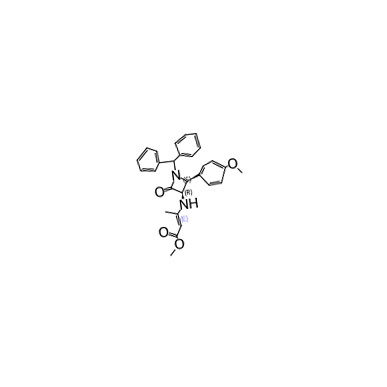 COC(=O)/C=C(\C)N[C@H]1C(=O)N(C(c2ccccc2)c2ccccc2)[C@H]1c1ccc(OC)cc1